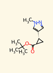 Cn1cc([C@@H]2C[C@H]2C(=O)OC(C)(C)C)cn1